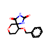 O=C1NC(=O)C2(COCCC2OCc2ccccc2)N1